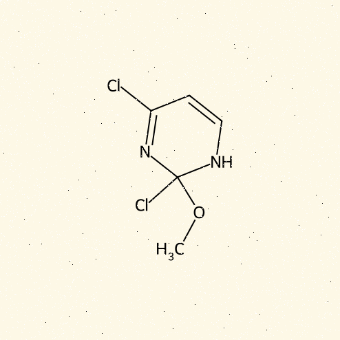 COC1(Cl)N=C(Cl)C=CN1